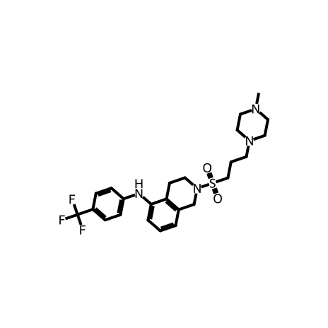 CN1CCN(CCCS(=O)(=O)N2CCc3c(cccc3Nc3ccc(C(F)(F)F)cc3)C2)CC1